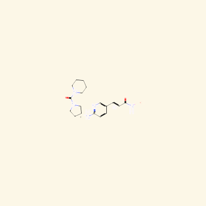 Cl.O=C(/C=C/c1ccc(N[C@@H]2CCN(C(=O)N3CCCCC3)C2)nc1)NO